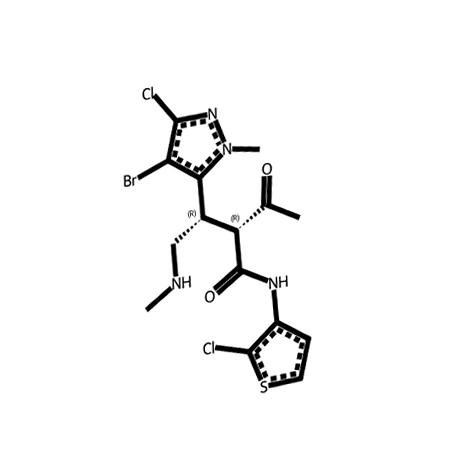 CNC[C@H](c1c(Br)c(Cl)nn1C)[C@H](C(C)=O)C(=O)Nc1ccsc1Cl